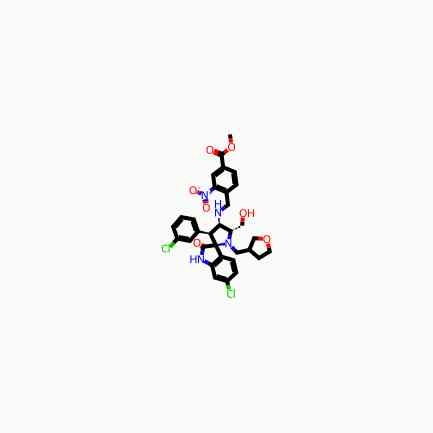 COC(=O)c1ccc(CN[C@@H]2[C@H](CO)N(CC3CCOC3)[C@@]3(C(=O)Nc4cc(Cl)ccc43)[C@H]2c2cccc(Cl)c2)c([N+](=O)[O-])c1